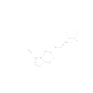 O=C(N[C@@H]1C[C@H]2CCN(C2)C1)c1cn2c(C#CCO)ccc2cn1